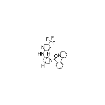 O=C(c1ccccc1-c1ccccn1)N1C[C@@H]2C[C@@H](Nc3ccc(C(F)(F)F)cn3)[C@@H]1C2